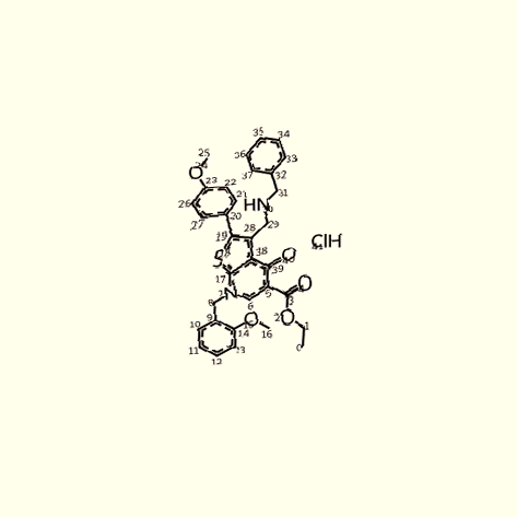 CCOC(=O)c1cn(Cc2ccccc2OC)c2sc(-c3ccc(OC)cc3)c(CNCc3ccccc3)c2c1=O.Cl